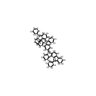 c1ccc(-n2c3ccccc3c3c([Si](c4ccccc4)(c4ccccc4)c4ccc(-n5c6ccccc6c6c5ccc5c7ccccc7n(-c7ccccc7)c56)cc4)cccc32)cc1